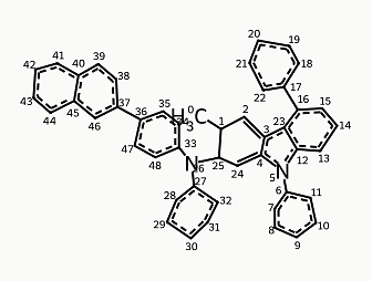 CC1C=c2c(n(-c3ccccc3)c3cccc(-c4ccccc4)c23)=CC1N(c1ccccc1)c1ccc(-c2ccc3ccccc3c2)cc1